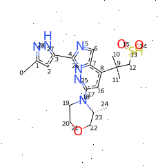 Cc1cc(-c2ncc3c(C(C)(C)C[SH](=O)=O)cc(N4CCOC[C@H]4C)nn23)[nH]n1